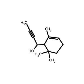 CC#CC(O)C1C(C)=CCCC1(C)C